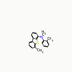 Cc1cccc2c1sc1c(N(C)c3ccccc3C(F)(F)F)cccc12